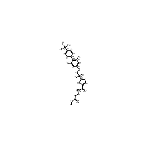 COC(=O)CCNC(=O)c1ccc(C(C)(C)COc2cc(C)c(-c3ccc(C(F)(F)F)cc3)c(C)c2)s1